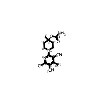 CCc1c(C#N)c(Cl)nc(N2CCC(C)(OC(N)=O)CC2)c1C#N